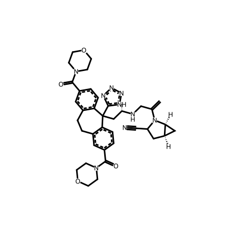 C=C(CN[C@@H](C)CC1(c2nnn[nH]2)c2ccc(C(=O)N3CCOCC3)cc2CCc2cc(C(=O)N3CCOCC3)ccc21)N1C(C#N)C[C@@H]2C[C@@H]21